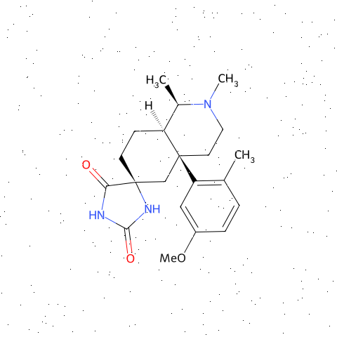 COc1ccc(C)c([C@]23CCN(C)[C@H](C)[C@@H]2CC[C@@]2(C3)NC(=O)NC2=O)c1